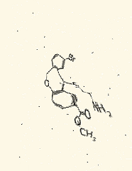 COC(=O)c1ccc2c(c1)C(SCCN)c1cc(Br)ccc1CO2